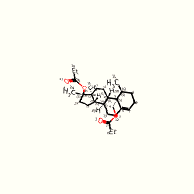 CCC(=O)OC[C@@]12C(=CCC[C@@H]1C)CC[C@@H]1[C@@H]2CC[C@@]2(C)[C@H]1CC[C@]2(C)OC(=O)CC